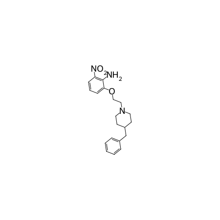 Nc1c(OCCN2CCC(Cc3ccccc3)CC2)cccc1[N+](=O)[O-]